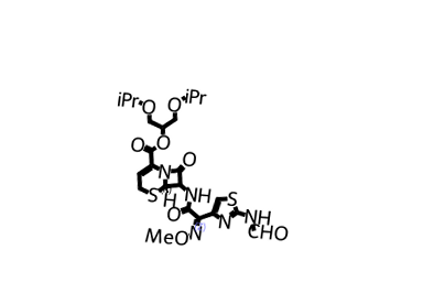 CO/N=C(\C(=O)NC1C(=O)N2C(C(=O)OC(COC(C)C)COC(C)C)=CCS[C@H]12)c1csc(NC=O)n1